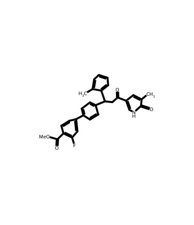 COC(=O)c1ccc(-c2ccc(C(CC(=O)c3c[nH]c(=O)c(C)c3)c3ccccc3C)cc2)cc1F